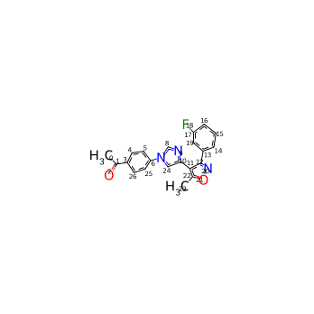 CC(=O)c1ccc(-n2cnc(-c3c(-c4cccc(F)c4)noc3C)c2)cc1